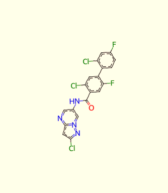 O=C(Nc1cnc2cc(Cl)nn2c1)c1cc(F)c(-c2ccc(F)cc2Cl)cc1Cl